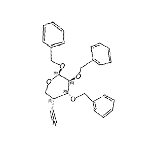 N#C[C@@H]1CO[C@@H](OCc2ccccc2)[C@@H](OCc2ccccc2)[C@@H]1OCc1ccccc1